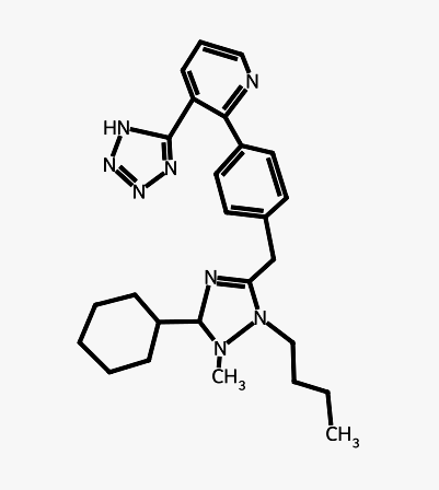 CCCCN1C(Cc2ccc(-c3ncccc3-c3nnn[nH]3)cc2)=NC(C2CCCCC2)N1C